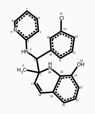 CC1(C(Nc2ccccn2)c2cccc(Cl)c2)C=Cc2cccc(O)c2N1